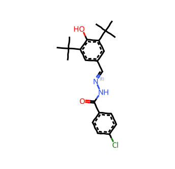 CC(C)(C)c1cc(/C=N/NC(=O)c2ccc(Cl)cc2)cc(C(C)(C)C)c1O